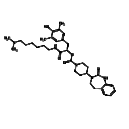 Cc1cc(C[C@@H](OC(=O)N2CCC(N3CCc4ccccc4NC3=O)CC2)C(=O)NCCCCCCN(C)C)cc(C)c1O